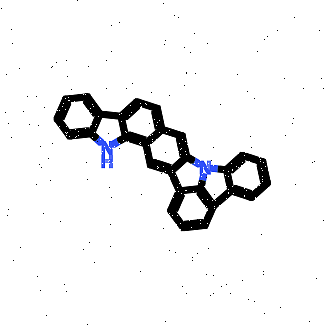 c1ccc2c(c1)[nH]c1c3cc4c5cccc6c7ccccc7n(c4cc3ccc21)c65